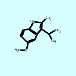 COc1ccc2[nH]c(C)c(C(C)O)c2c1